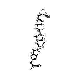 C/C(C#N)=C/c1cc2oc(-c3ccc4cc(-c5cc6sc(/C=C(/C)C#N)cc6o5)[nH]c4c3)cc2s1